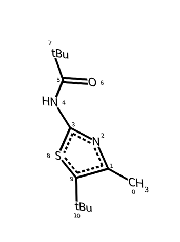 Cc1nc(NC(=O)C(C)(C)C)sc1C(C)(C)C